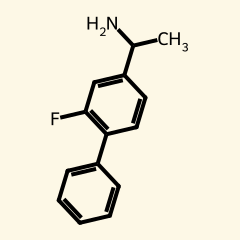 CC(N)c1ccc(-c2ccccc2)c(F)c1